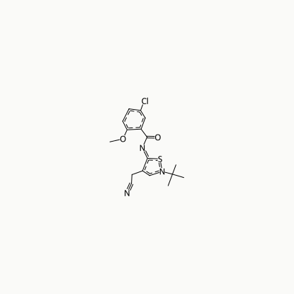 COc1ccc(Cl)cc1C(=O)/N=c1\sn(C(C)(C)C)cc1CC#N